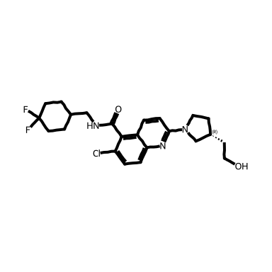 O=C(NCC1CCC(F)(F)CC1)c1c(Cl)ccc2nc(N3CC[C@H](CCO)C3)ccc12